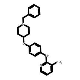 O=[N+]([O-])c1cccnc1Nc1ccc(OC2CCN(Cc3ccccc3)CC2)cc1